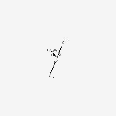 CCCCCCCCCCCCCOC(=O)CCN(CCNCCN(CC)CC)CCC(=O)OCCCCCCCCCCCCC